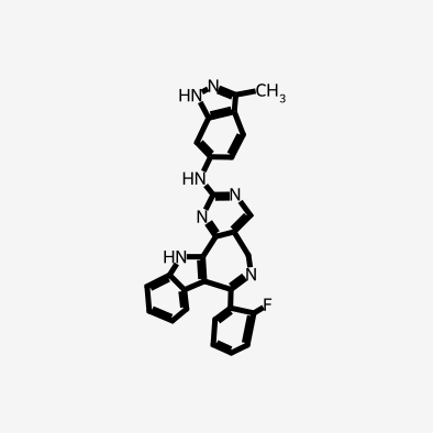 Cc1n[nH]c2cc(Nc3ncc4c(n3)-c3[nH]c5ccccc5c3C(c3ccccc3F)=NC4)ccc12